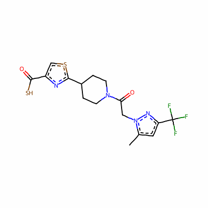 Cc1cc(C(F)(F)F)nn1CC(=O)N1CCC(c2nc(C(=O)S)cs2)CC1